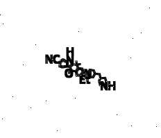 CCc1cc2c(cc1N1CCC(CC3CCNCC3)CC1)C(C)(C)c1[nH]c3cc(C#N)ccc3c1C2=O